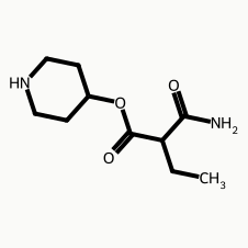 CCC(C(N)=O)C(=O)OC1CCNCC1